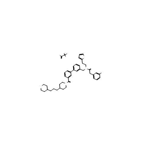 O=C(Cc1cccc(Br)c1)N(CCc1cccs1)Cc1cccc(-c2cccc(C(=O)N3CCC(CCCC4CCNCC4)CC3)c2)c1.O=C(O)C(F)(F)F